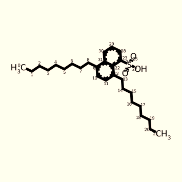 CCCCCCCCCc1ccc(CCCCCCCCC)c2c(S(=O)(=O)O)cccc12